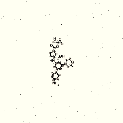 CC1(OC(=O)N2CC[C@](CO)(Nc3cc(-c4cnc(N)nc4)nc(N4CCOCC4)n3)C2)CC1